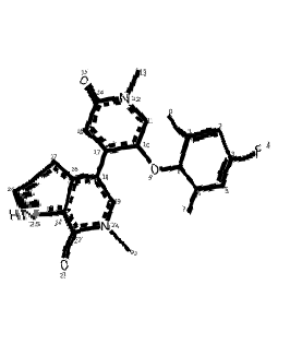 CC1=CC(F)=CC(C)C1Oc1cn(C)c(=O)cc1-c1cn(C)c(=O)c2[nH]ccc12